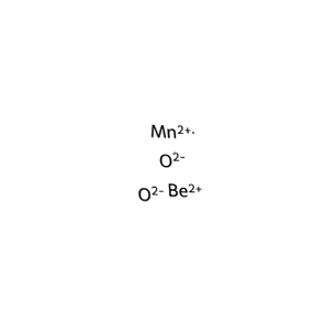 [Be+2].[Mn+2].[O-2].[O-2]